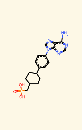 Nc1ncnc2c1ncn2-c1ccc(C2CCC(CP(=O)(O)O)CC2)cc1